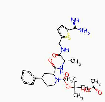 CC(=O)O.C[C@H](NC(=O)[C@H]1C[C@@H](c2ccccc2)CCN1C(=O)OC(C)(C)C)C(=O)NCc1ccc(C(=N)N)s1